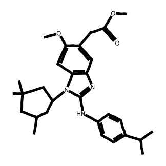 COC(=O)Cc1cc2nc(Nc3ccc(C(C)C)cc3)n(C3CC(C)CC(C)(C)C3)c2cc1OC